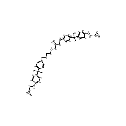 CC(C)(c1ccc(CCCCOCC(O)COc2ccc(C(C)(C)c3ccc(OCC4CO4)cc3)cc2)cc1)c1ccc(OCC2CO2)cc1